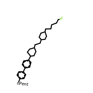 CCCCCc1ccc(-c2ccc(C3CCC(CCC4CCC(CCCCCF)CC4)CC3)cc2)cc1